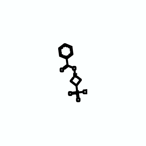 O=C(ON1CC(S(=O)(=O)Cl)C1)c1ccccc1